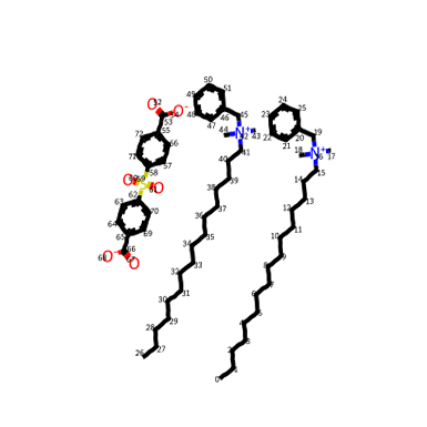 CCCCCCCCCCCCCCCC[N+](C)(C)Cc1ccccc1.CCCCCCCCCCCCCCCC[N+](C)(C)Cc1ccccc1.O=C([O-])c1ccc(S(=O)(=O)c2ccc(C(=O)[O-])cc2)cc1